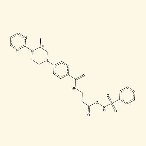 C[C@H]1CN(c2ccc(C(=O)NCCC(=O)ONS(=O)(=O)c3ccccc3)cc2)CCN1c1ncccn1